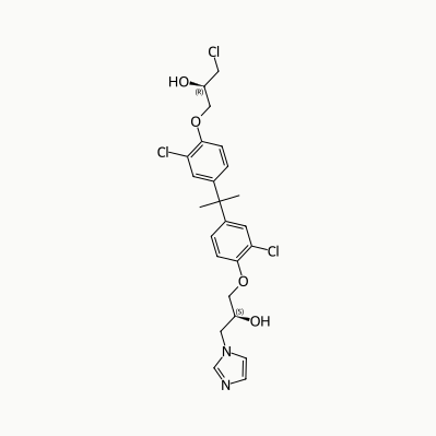 CC(C)(c1ccc(OC[C@@H](O)Cn2ccnc2)c(Cl)c1)c1ccc(OC[C@@H](O)CCl)c(Cl)c1